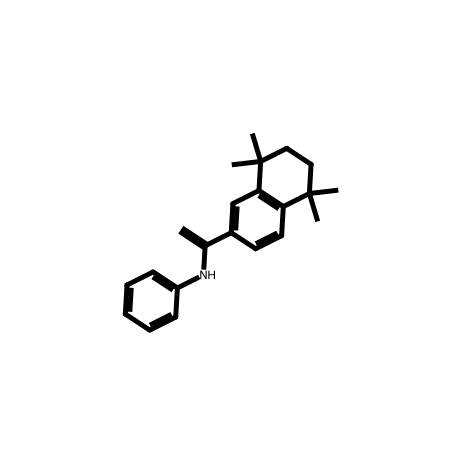 C=C(Nc1ccccc1)c1ccc2c(c1)C(C)(C)CCC2(C)C